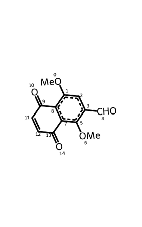 COc1cc(C=O)c(OC)c2c1C(=O)C=CC2=O